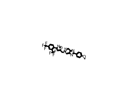 COc1ccc(-c2nc3cnn(Cc4cc(-c5ccc(C(F)(F)F)cc5C(F)(F)F)no4)cc-3n2)cc1